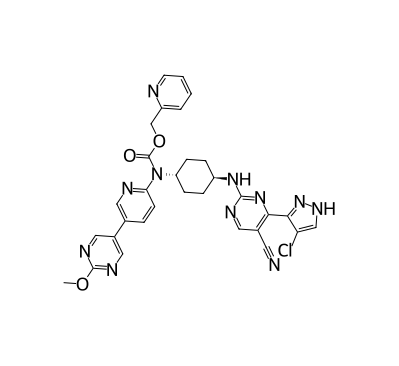 COc1ncc(-c2ccc(N(C(=O)OCc3ccccn3)[C@H]3CC[C@H](Nc4ncc(C#N)c(-c5n[nH]cc5Cl)n4)CC3)nc2)cn1